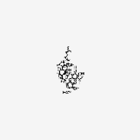 C=C(CCC=C(C)C)[C@H]1CC[C@]2(C)[C@@H]1[C@H](O)C[C@@H]1[C@@]3(C)CC[C@H](O[C@H]4O[C@H](CO)[C@@H](O)[C@H](O)[C@H]4O[C@@H]4O[C@H](CC)[C@@H](O)[C@H](O)[C@H]4O)C(C)(C)[C@@H]3CC[C@]12C